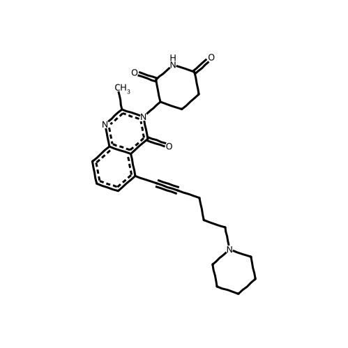 Cc1nc2cccc(C#CCCCN3CCCCC3)c2c(=O)n1C1CCC(=O)NC1=O